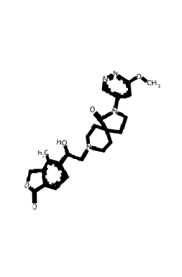 COc1cc(N2CCC3(CCN(CC(O)c4ccc5c(c4C)COC5=O)CC3)C2=O)cnn1